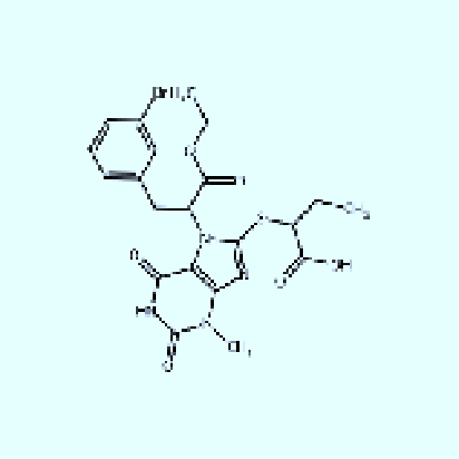 CCOC(=O)C(Cc1cccc(Br)c1)n1c(SC(CC)C(=O)O)nc2c1c(=O)[nH]c(=O)n2C